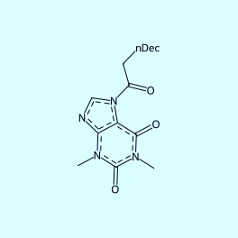 CCCCCCCCCCCC(=O)n1cnc2c1c(=O)n(C)c(=O)n2C